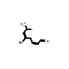 C=C/C=C\C/C(=C\C(C)F)C(C)(C)C